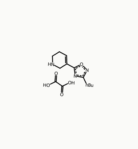 CCCCc1noc(C2=CCCNC2)n1.O=C(O)C(=O)O